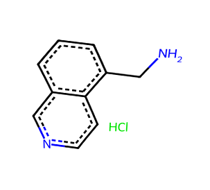 Cl.NCc1cccc2cnccc12